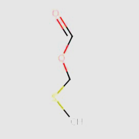 CSCOC=O